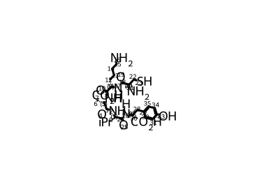 CC(C)[C@H](NC(=O)[C@H](CC(=O)O)NC(=O)[C@H](CCCCN)NC(=O)[C@@H](N)CS)C(=O)N[C@@H](Cc1ccc(O)cc1)C(=O)O